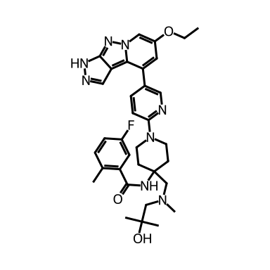 CCOc1cc(-c2ccc(N3CCC(CN(C)CC(C)(C)O)(NC(=O)c4cc(F)ccc4C)CC3)nc2)c2c3cn[nH]c3nn2c1